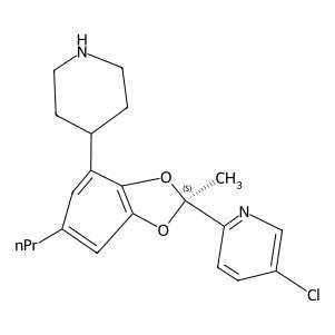 CCCc1cc2c(c(C3CCNCC3)c1)O[C@@](C)(c1ccc(Cl)cn1)O2